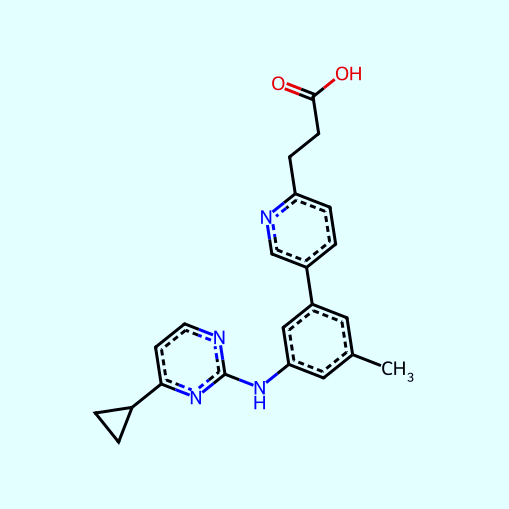 Cc1cc(Nc2nccc(C3CC3)n2)cc(-c2ccc(CCC(=O)O)nc2)c1